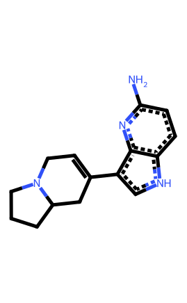 Nc1ccc2[nH]cc(C3=CCN4CCCC4C3)c2n1